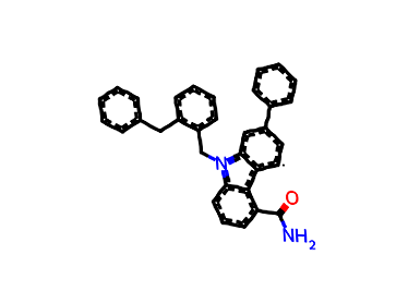 NC(=O)c1cccc2c1c1[c]cc(-c3ccccc3)cc1n2Cc1ccccc1Cc1ccccc1